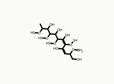 BOC(/C=C(O)\C(OS)=C(\O)C(OS)C(O)C(OS)C(O)C(C)OS)CO